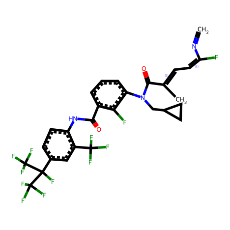 C=N/C(F)=C\C=C(/C)C(=O)N(CC1CC1)c1cccc(C(=O)Nc2ccc(C(F)(C(F)(F)F)C(F)(F)F)cc2C(F)(F)F)c1F